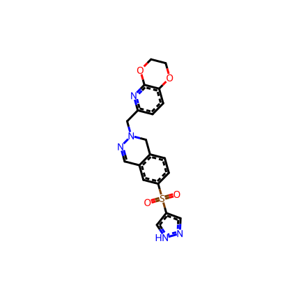 O=S(=O)(c1cn[nH]c1)c1ccc2c(c1)C=NN(Cc1ccc3c(n1)OCCO3)C2